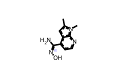 Cc1cc2c(/C(N)=N\O)ccnc2n1C